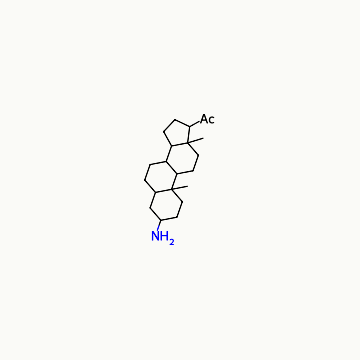 CC(=O)C1CCC2C3CCC4CC(N)CCC4(C)C3CCC12C